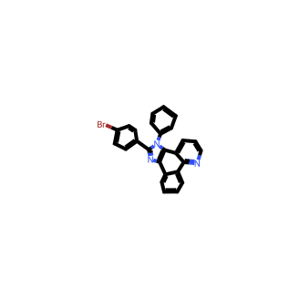 Brc1ccc(-c2nc3c4ccccc4c4ncccc4c3n2-c2ccccc2)cc1